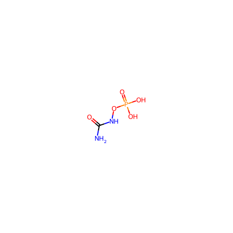 NC(=O)NOP(=O)(O)O